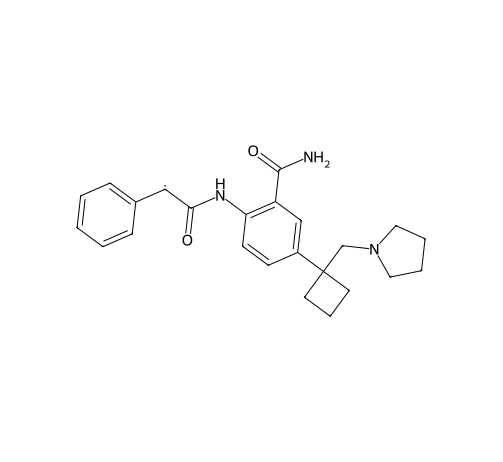 NC(=O)c1cc(C2(CN3CCCC3)CCC2)ccc1NC(=O)[CH]c1ccccc1